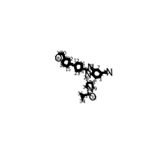 N#Cc1ccc2c(c1)nc(-c1ccc(-c3ccc4occc4c3)cc1)n2C[C@@H]1CCN(C(=O)C2CC2)C1